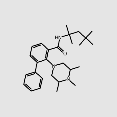 CC1CN(c2c(C(=O)NC(C)(C)CC(C)(C)C)cccc2-c2ccccc2)CC(C)N1C